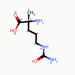 C[C@@](N)(CCCNC(N)=O)C(=O)O